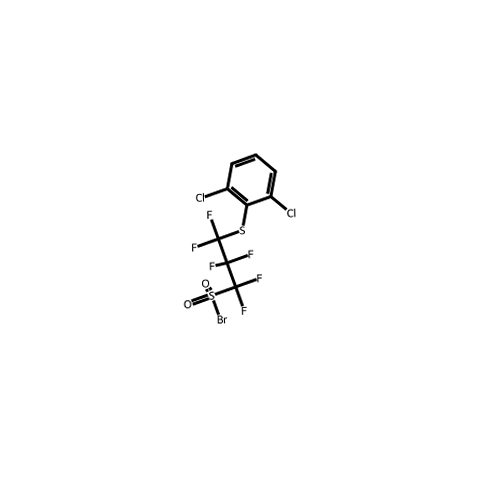 O=S(=O)(Br)C(F)(F)C(F)(F)C(F)(F)Sc1c(Cl)cccc1Cl